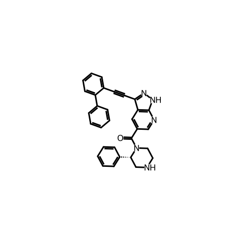 O=C(c1cnc2[nH]nc(C#Cc3ccccc3-c3ccccc3)c2c1)N1CCNC[C@@H]1c1ccccc1